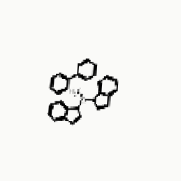 [CH2]=[Zr]([CH]1C=Cc2ccccc21)[CH]1C=Cc2ccccc21.c1ccc(-c2ccccc2)cc1